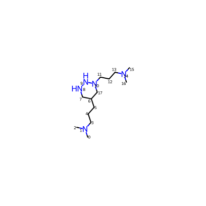 CN(C)CCCC1CNNN(CCCN(C)C)C1